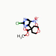 COC(=O)C1(c2nc(Cl)ncc2[N+](=O)[O-])CCOCC1